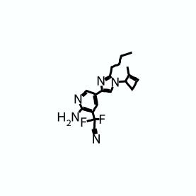 CCCCc1nc(-c2cnc(N)c(C(F)(F)C#N)c2)cn1C1CC=C1C